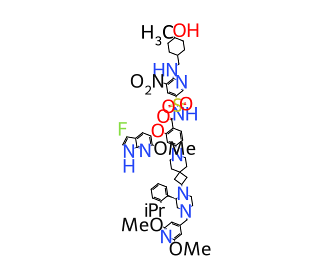 COc1cc(CN2CCN(C3CC4(CCN(c5ccc(C(=O)NS(=O)(=O)c6cnc(NCC7CCC(C)(O)CC7)c([N+](=O)[O-])c6)c(Oc6cc7c(F)c[nH]c7nc6OC)c5)CC4)C3)[C@H](c3ccccc3C(C)C)C2)cc(OC)n1